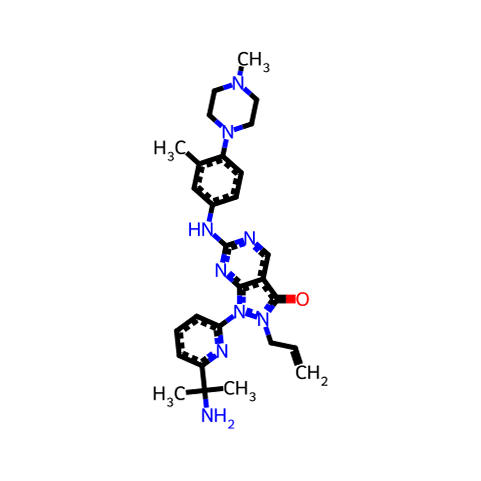 C=CCn1c(=O)c2cnc(Nc3ccc(N4CCN(C)CC4)c(C)c3)nc2n1-c1cccc(C(C)(C)N)n1